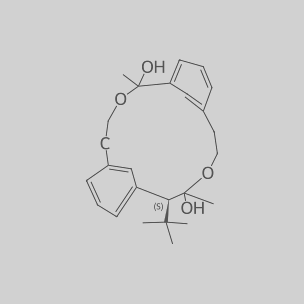 CC1(O)OCCc2cccc(c2)[C@H](C(C)(C)C)C(C)(O)OCCc2cccc1c2